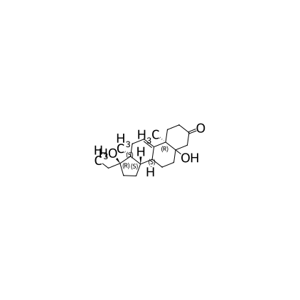 CC[C@@]1(O)CC[C@H]2[C@@H]3CCC4(O)CC(=O)CC[C@]4(C)C3=CC[C@@]21C